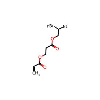 C=CC(=O)OCCC(=O)OCC(CC)CCCC